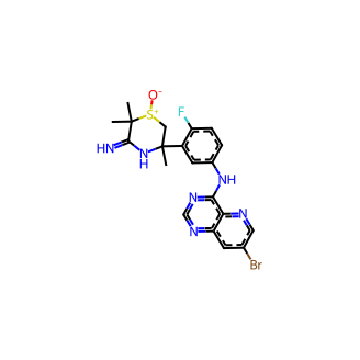 CC1(c2cc(Nc3ncnc4cc(Br)cnc34)ccc2F)C[S+]([O-])C(C)(C)C(=N)N1